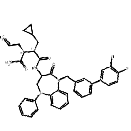 C=CC[C@H](C(N)=O)[C@@H](CC1CC1)C(=O)NC1CN(c2ccccc2)c2ccccc2N(Cc2cccc(-c3ccc(F)c(Cl)c3)c2)C1=O